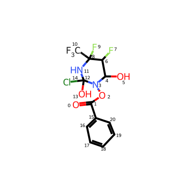 O=C(ON1C(O)C(F)C(F)(C(F)(F)F)NC1(O)Cl)c1ccccc1